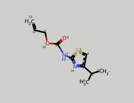 [CH2]C([CH2])c1csc(NC(=O)OCC=C)n1